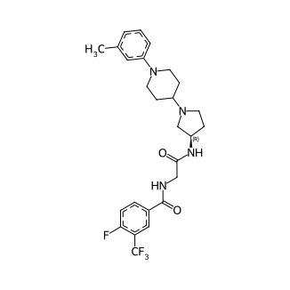 Cc1cccc(N2CCC(N3CC[C@@H](NC(=O)CNC(=O)c4ccc(F)c(C(F)(F)F)c4)C3)CC2)c1